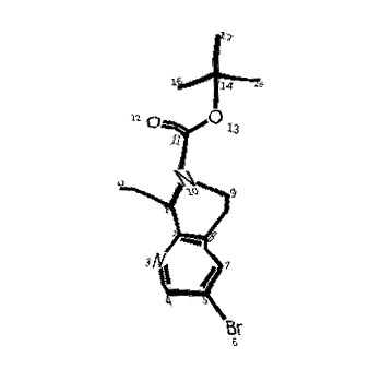 CC1c2ncc(Br)cc2CN1C(=O)OC(C)(C)C